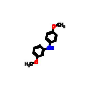 COc1ccc(Nc2[c]ccc(OC)c2)cc1